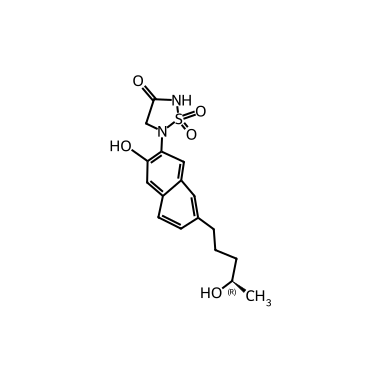 C[C@@H](O)CCCc1ccc2cc(O)c(N3CC(=O)NS3(=O)=O)cc2c1